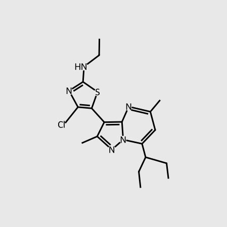 CCNc1nc(Cl)c(-c2c(C)nn3c(C(CC)CC)cc(C)nc23)s1